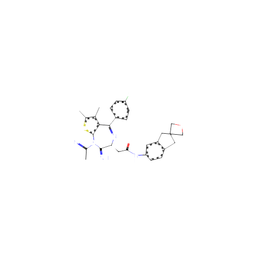 CC(=N)N1C(=N)[C@H](CC(=O)Nc2ccc3c(c2)CC2(COC2)C3)N=C(c2ccc(Cl)cc2)c2c1sc(C)c2C